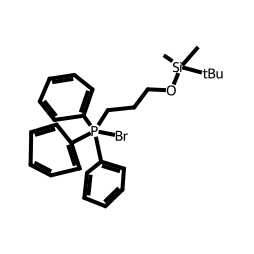 CC(C)(C)[Si](C)(C)OCCCP(Br)(c1ccccc1)(c1ccccc1)c1ccccc1